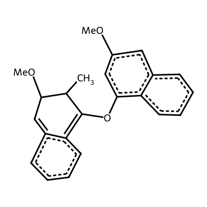 COc1cc(OC2=c3ccccc3=CC(OC)C2C)c2ccccc2c1